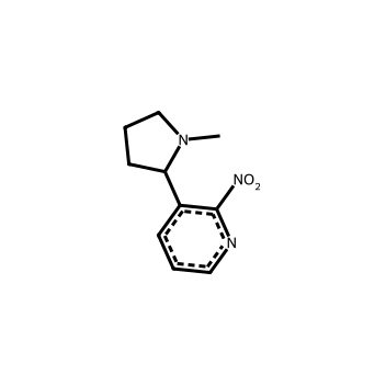 CN1CCCC1c1cccnc1[N+](=O)[O-]